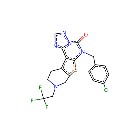 O=c1n(Cc2ccc(Cl)cc2)c2sc3c(c2c2ncnn12)CCN(CC(F)(F)F)C3